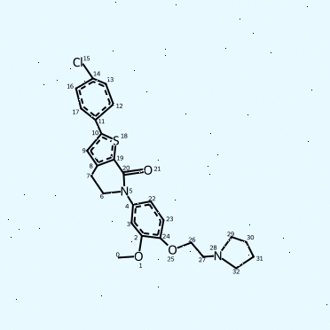 COc1cc(N2CCc3cc(-c4ccc(Cl)cc4)sc3C2=O)ccc1OCCN1CCCC1